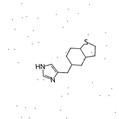 c1nc(CC2CCC3SCCC3C2)c[nH]1